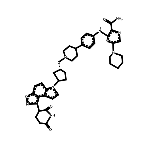 NC(=O)c1ncc(N2CCCCC2)nc1Nc1ccc(C2CCN(C[C@@H]3CCC(n4ccc5c6c(C7CCC(=O)NC7=O)noc6ccc54)C3)CC2)cc1